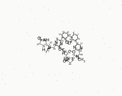 COc1nc(-c2cccc(-c3cccc(-c4cnc(CN(C)C[C@@H]5CCC(=O)N5)c(OC)n4)c3Cl)c2Cl)cnc1CN(C)C[C@@H]1CCC(=O)N1